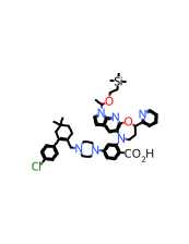 CC(OCC[Si](C)(C)C)n1ccc2cc3c(nc21)OC(c1ccccn1)CCN3c1cc(N2CCN(CC3=C(c4ccc(Cl)cc4)CC(C)(C)CC3)CC2)ccc1C(=O)O